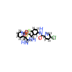 C[C@@]1(c2cc(NC(=O)c3ccc(Cl)cn3)ccc2F)CS(=O)(=O)[C@@](C)(c2ccccn2)C(=N)N1